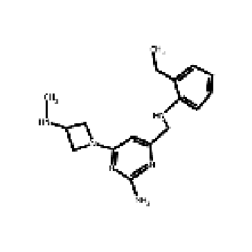 CCc1ccccc1NCc1cc(N2CC(NC)C2)nc(N)n1